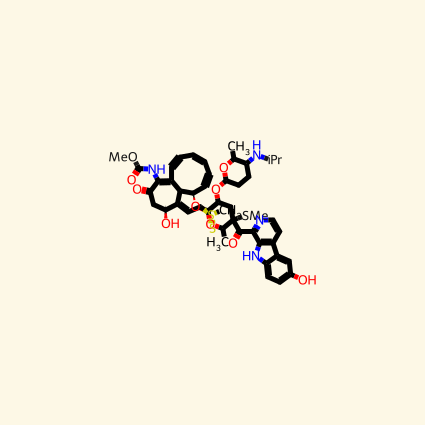 COC(=O)NC1=C2C#C/C=C\C#C[C@H](OC3OC(C)C(SC)(C(=O)c4nccc5c4[nH]c4ccc(O)cc45)CC3OC3CCC(NC(C)C)C(C)O3)C2/C(=C\CS(C)=S)[C@@H](O)CC1=O